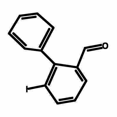 O=Cc1cccc(I)c1-c1ccccc1